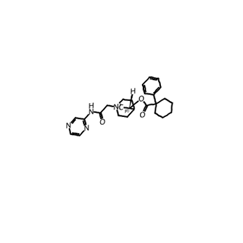 O=C(C[N+]12CCC(CC1)[C@@H](OC(=O)C1(c3ccccc3)CCCCC1)C2)Nc1cnccn1